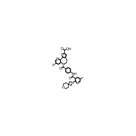 Cc1cnc(N2CC3(CCOCC3)C2)c(C(=O)Nc2ccc(C(=O)N3CCc4cc(C(=O)O)sc4-c4ncc(F)cc43)cc2)c1